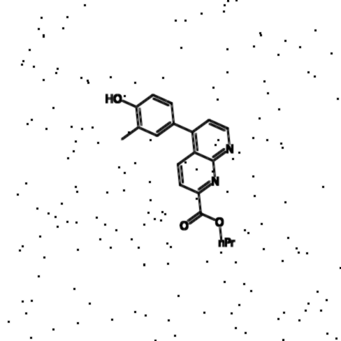 CCCOC(=O)c1ccc2c(-c3ccc(O)c(C)c3)ccnc2n1